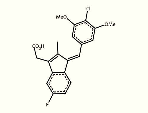 COc1cc(/C=C2\C(C)=C(CC(=O)O)c3cc(F)ccc32)cc(OC)c1Cl